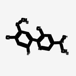 COc1cc(-c2ncc([S+](C)[O-])cc2Cl)c(F)cc1Cl